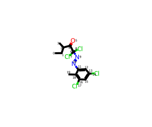 CCC(C)C(=O)C(Cl)(Cl)N=Nc1cc(Cl)cc(Cl)c1C